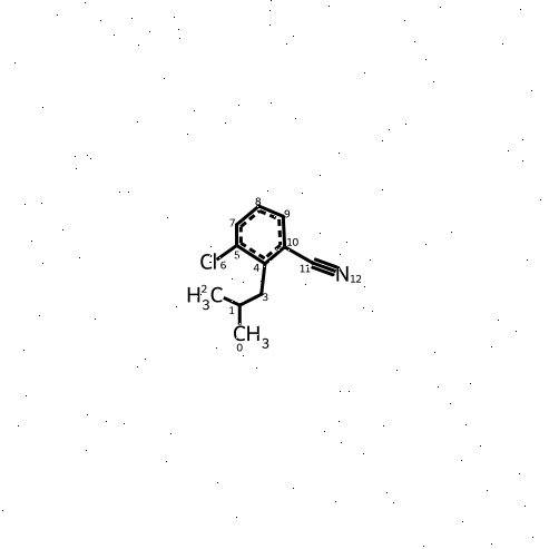 CC(C)Cc1c(Cl)cccc1C#N